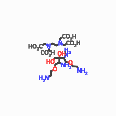 NCCOCC(N)C(O)(CO)C(N)COCCN.O=C(O)CN(CCN(CC(=O)O)CC(=O)O)CC(=O)O